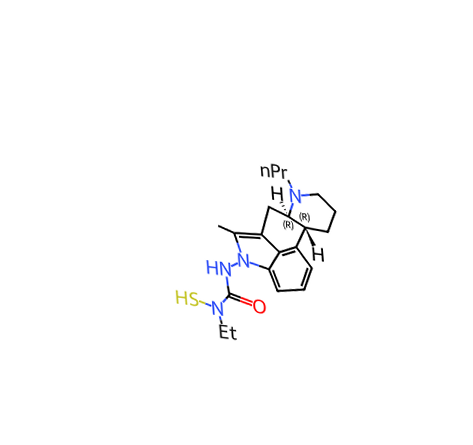 CCCN1CCC[C@@H]2c3cccc4c3c(c(C)n4NC(=O)N(S)CC)C[C@H]21